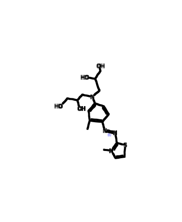 Cc1cc(N(CC(O)CO)CC(O)CO)ccc1/N=N/c1scc[n+]1C